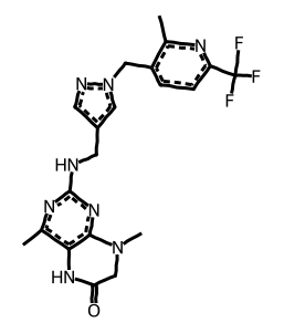 Cc1nc(C(F)(F)F)ccc1Cn1cc(CNc2nc(C)c3c(n2)N(C)CC(=O)N3)cn1